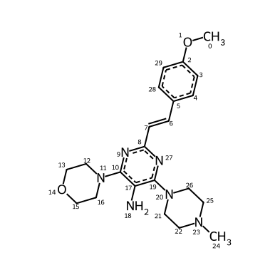 COc1ccc(/C=C/c2nc(N3CCOCC3)c(N)c(N3CCN(C)CC3)n2)cc1